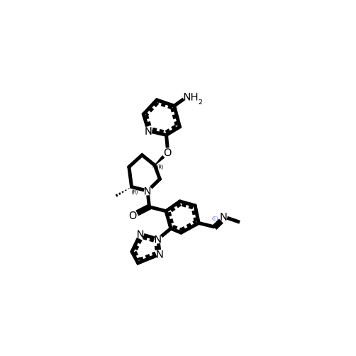 C/N=C/c1ccc(C(=O)N2C[C@H](Oc3cc(N)ccn3)CC[C@H]2C)c(-n2nccn2)c1